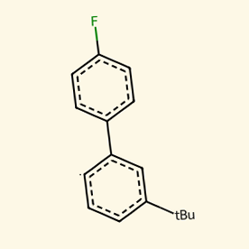 CC(C)(C)c1cc[c]c(-c2ccc(F)cc2)c1